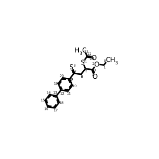 CCOC(=O)C(CC(=S)c1ccc(-c2ccccc2)cc1)SC(C)=O